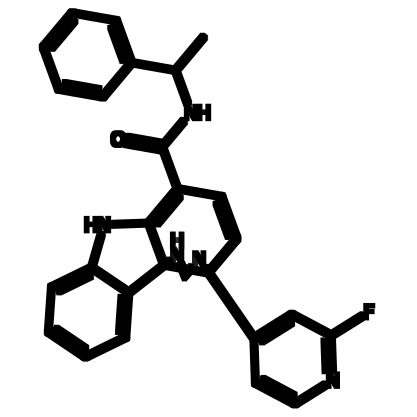 CC(NC(=O)C1=C2Nc3ccccc3C23NCN(c2ccnc(F)c2)C3C=C1)c1ccccc1